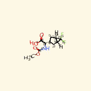 COC(=O)NC(C(=O)O)[C@H]1C[C@@H]2[C@H](C1)C2(F)F